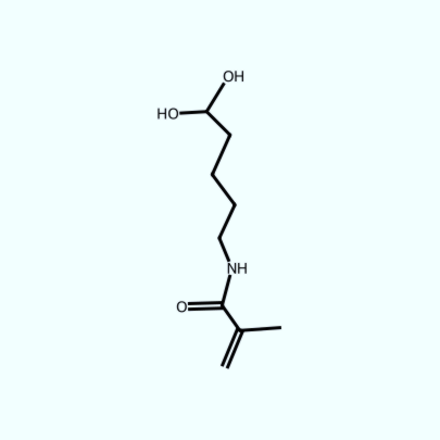 C=C(C)C(=O)NCCCCC(O)O